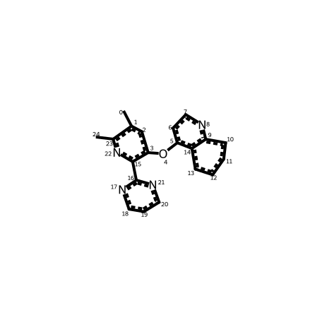 Cc1cc(Oc2ccnc3ccccc23)c(-c2ncccn2)nc1C